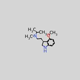 COc1cccc2c1[C@H](CCN(C)C(C)C)CN2